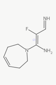 N=C/C(F)=C(\N)N1CCC=CCC1